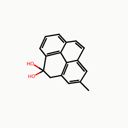 Cc1cc2c3c(ccc4cccc(c43)C(O)(O)C2)c1